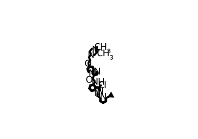 C[C@H]1CN(CCOc2ccn3c(C(=O)Nc4cccc5c4c(Cl)nn5Cc4cccc(C5CC5)n4)cnc3c2)CCN1C